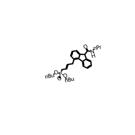 CCCCOP(=O)(CC=CCc1cccc2c1-c1ccccc1C2C(=O)NCCC)OCCCC